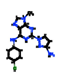 Cn1cnc2c(Nc3ccc(Cl)cc3)nc(-n3ccc(N)n3)nc21